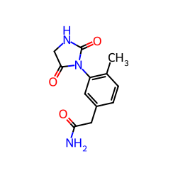 Cc1ccc(CC(N)=O)cc1N1C(=O)CNC1=O